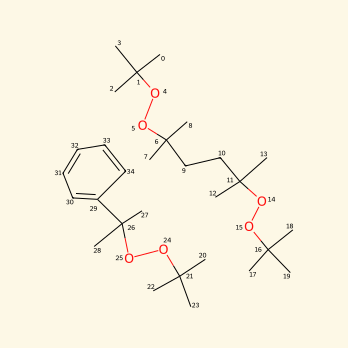 CC(C)(C)OOC(C)(C)CCC(C)(C)OOC(C)(C)C.CC(C)(C)OOC(C)(C)c1ccccc1